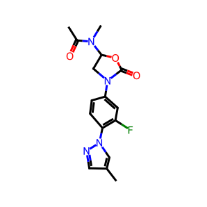 CC(=O)N(C)C1CN(c2ccc(-n3cc(C)cn3)c(F)c2)C(=O)O1